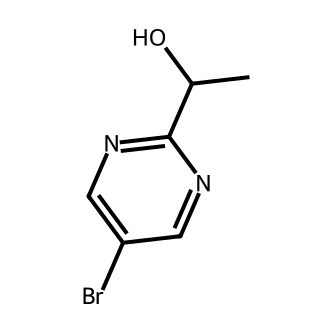 CC(O)c1ncc(Br)cn1